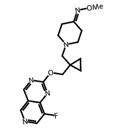 CON=C1CCN(CC2(COc3ncc4cncc(F)c4n3)CC2)CC1